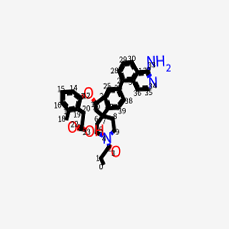 CCC(=O)N1CCC2(CC1)CC(Oc1cccc(C)c1CC(=O)O)c1cc(-c3cccc4c(N)nccc34)ccc12